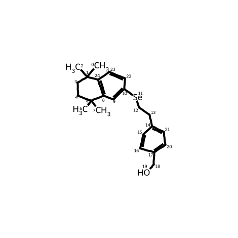 CC1(C)CCC(C)(C)c2cc([Se]CCc3ccc(CO)cc3)ccc21